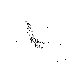 COCC1CCC(c2cnc(N)c(N)n2)CC1